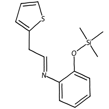 C[Si](C)(C)Oc1ccccc1N=CCc1cccs1